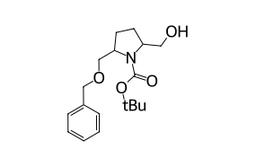 CC(C)(C)OC(=O)N1C(CO)CCC1COCc1ccccc1